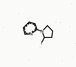 IC1CCCN1c1ccccn1